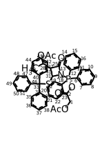 CC(=O)OCC(=O)OP(c1ccccc1)(c1ccccc1)(c1ccccc1)N1C(=O)C(C(C)OC(C)=O)C1SC(c1ccccc1)(c1ccccc1)c1ccccc1